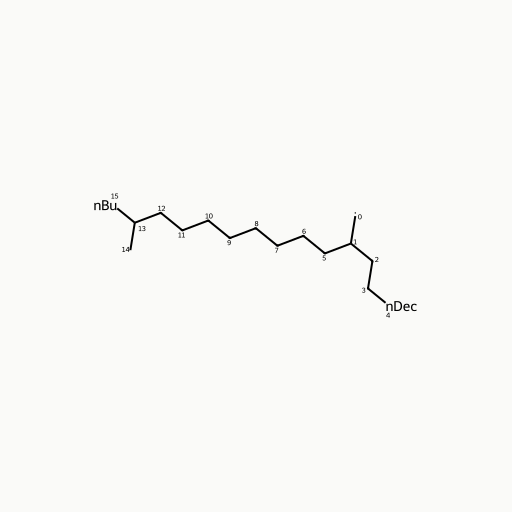 [CH2]C(CCCCCCCCCCCC)CCCCCCCCC(C)CCCC